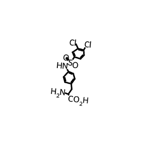 NC(Cc1ccc(NS(=O)(=O)c2ccc(Cl)c(Cl)c2)cc1)C(=O)O